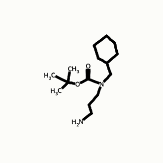 CC(C)(C)OC(=O)N(CCCN)CC1CCCCC1